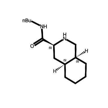 CCCCNC(=O)[C@@H]1C[C@@H]2CCCC[C@@H]2CN1